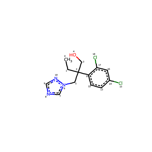 CCC(CO)(Cn1cncn1)c1ccc(Cl)cc1Cl